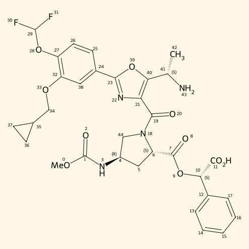 COC(=O)N[C@@H]1C[C@@H](C(=O)O[C@H](C(=O)O)c2ccccc2)N(C(=O)c2nc(-c3ccc(OC(F)F)c(OCC4CC4)c3)oc2[C@H](C)N)C1